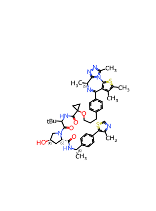 Cc1ncsc1-c1ccc([C@H](C)NC(=O)[C@@H]2C[C@@H](O)CN2C(=O)C(NC(=O)C2(OCCCc3ccc(C4=N[C@@H](C)c5nnc(C)n5-c5sc(C)c(C)c54)cc3)CC2)C(C)(C)C)cc1